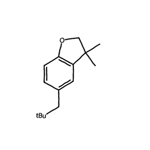 CC(C)(C)Cc1ccc2c(c1)C(C)(C)CO2